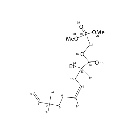 C=CC(C)(C)CCC(C)=CCC(C)(CC)C(=O)OCP(=O)(OC)OC